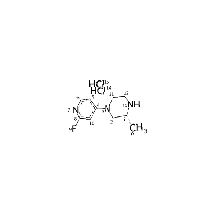 C[C@@H]1CN(c2ccnc(F)c2)CCN1.Cl.Cl